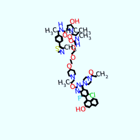 C=CC(=O)N1CCN(c2nc(O[C@H](C)CN3CCC(OCCOCCOCC(=O)N[C@H](C(=O)N4C[C@H](O)C[C@H]4C(=O)N[C@@H](C)c4ccc(-c5scnc5C)cc4)C(C)(C)C)CC3)nc3c(F)c(-c4cc(O)cc5ccccc45)c(Cl)cc23)CC1